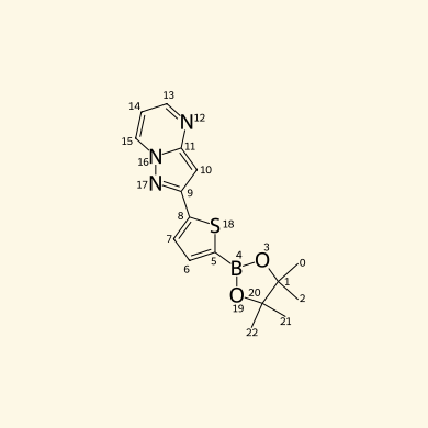 CC1(C)OB(c2ccc(-c3cc4ncccn4n3)s2)OC1(C)C